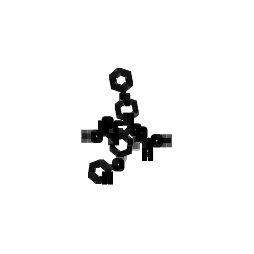 C[C@@]1(C(=O)N2CCN(c3ccccc3)CC2)[C@@H](C(=O)NO)C[C@H](Oc2ccccn2)CN1C(=O)O